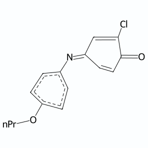 CCCOc1ccc(N=C2C=CC(=O)C(Cl)=C2)cc1